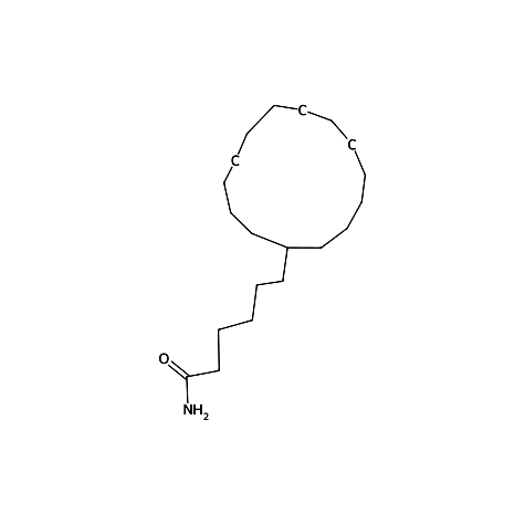 NC(=O)CCCCCC1CCCCCCCCCCCCC1